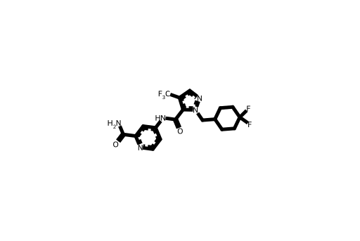 NC(=O)c1cc(NC(=O)c2c(C(F)(F)F)cnn2CC2CCC(F)(F)CC2)ccn1